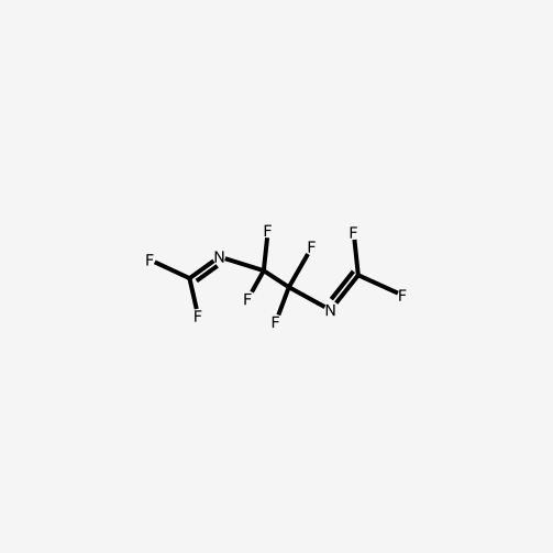 FC(F)=NC(F)(F)C(F)(F)N=C(F)F